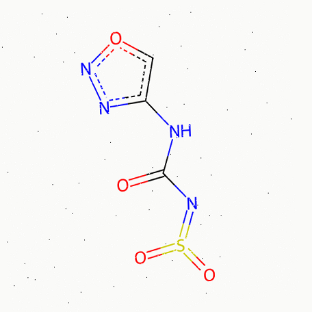 O=C(N=S(=O)=O)Nc1conn1